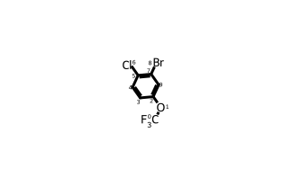 FC(F)(F)Oc1ccc(Cl)c(Br)c1